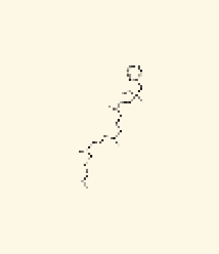 CCC(CC)(CCC(C)CCCC(C)CCCC(C)CCCC(C)C)Cc1ccccc1